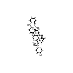 C[C@]12CC[C@H]3[C@@H](CC[C@@]4(C)[C@@H](Oc5ccccc5)[C@@H](O)CC[C@]34C)[C@@H]1[C@@H]1CC1CN2C(=O)[C@H]1CC[C@@H](F)CO1